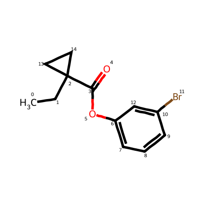 CCC1(C(=O)Oc2cccc(Br)c2)CC1